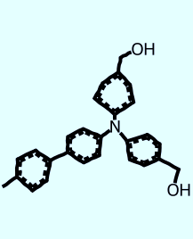 Cc1ccc(-c2ccc(N(c3ccc(CO)cc3)c3ccc(CO)cc3)cc2)cc1